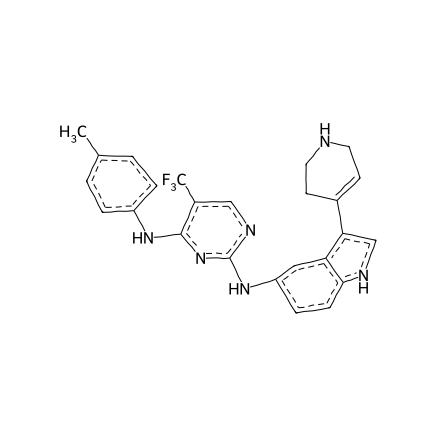 Cc1ccc(Nc2nc(Nc3ccc4[nH]cc(C5=CCNCC5)c4c3)ncc2C(F)(F)F)cc1